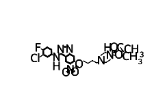 CC(C)(C)OC(=O)N1CCN(CCCCOc2cc3ncnc(Nc4ccc(F)c(Cl)c4)c3cc2[N+](=O)[O-])CC1